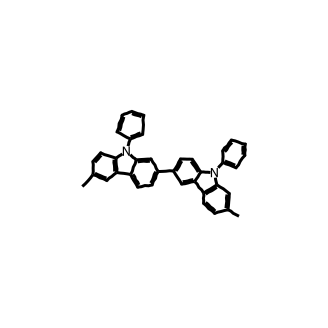 Cc1ccc2c(c1)c1ccc(-c3ccc4c(c3)c3ccc(C)cc3n4-c3ccccc3)cc1n2-c1ccccc1